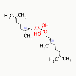 CC(C)=CCC/C(C)=C/COC(O)(O)OC/C=C(\C)CCC=C(C)C